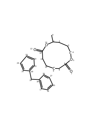 CC1CCCOC(=O)CCCCC(=O)O1.c1ccc(Cc2ccccc2)cc1